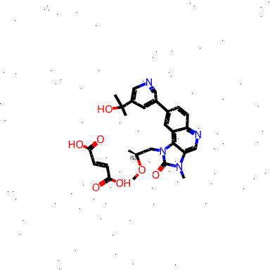 CO[C@@H](C)Cn1c(=O)n(C)c2cnc3ccc(-c4cncc(C(C)(C)O)c4)cc3c21.O=C(O)C=CC(=O)O